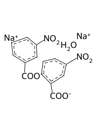 O.O=C([O-])c1cccc([N+](=O)[O-])c1.O=C([O-])c1cccc([N+](=O)[O-])c1.[Na+].[Na+]